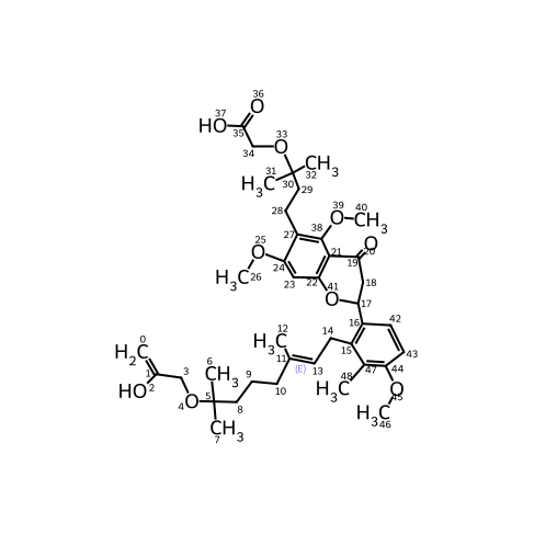 C=C(O)COC(C)(C)CCC/C(C)=C/Cc1c(C2CC(=O)c3c(cc(OC)c(CCC(C)(C)OCC(=O)O)c3OC)O2)ccc(OC)c1C